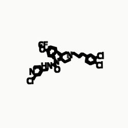 O=C(NCc1ccnc(Cl)c1)n1c2c(c3ccc(OC(F)(F)F)cc31)CN(CC=Cc1ccc(Cl)c(Cl)c1)CC2